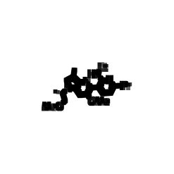 CCNc1nc(C(C)C)ccc1-c1nc2c(C)cn([C@@H](C)COC)c2cc1OC